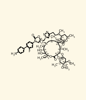 CC[C@H]1OC(=O)[C@H](C)[C@@H](O[C@H]2C[C@@](C)(OC)[C@@H](O)[C@H](C)O2)[C@H](C)[C@@H](O[C@@H]2O[C@H](C)C[C@H](N(C)CCc3cn(C[C@H]4CN(c5ccc(-c6ccc(N)cc6)c(F)c5)C(=O)O4)nn3)[C@H]2O)[C@](C)(O)C[C@@H](C)CN(C)[C@H](C)[C@@H](O)[C@]1(C)O